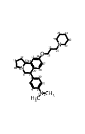 CN(C)c1ccc(C2CN3CCCC3c3cc(OCCCN4CCCCC4)ccc32)cc1